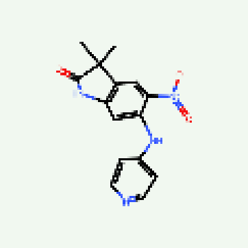 CC1(C)C(=O)Nc2cc(Nc3ccncc3)c([N+](=O)[O-])cc21